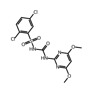 COc1cc(OC)nc(NC(=O)NS(=O)(=O)c2cc(Cl)ccc2Cl)n1